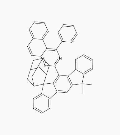 CC1(C)c2ccccc2-c2c1cc1c(c2-c2nc(-c3ccccc3)c3c(ccc4ccccc43)n2)C2(c3ccccc3-1)C1CC3CC(C1)CC2C3